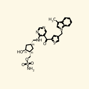 Cc1cn(Cc2csc(C(=O)c3cncnc3NC[C@@H]3C[C@H](COS(N)(=O)=O)[C@@H](O)C3)c2)c2ccccc12